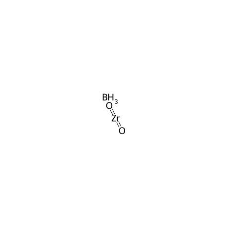 B.[O]=[Zr]=[O]